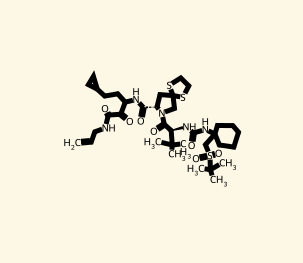 C=CCNC(=O)C(=O)C(CCC1CC1)NC(=O)[C@@H]1CC2(CN1C(=O)[C@@H](NC(=O)NC1(CS(=O)(=O)C(C)(C)C)CCCCC1)C(C)(C)C)SCCS2